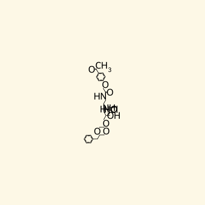 CC(=O)c1ccc(OCC(=O)NCCNCC(O)COC2COC(Cc3ccccc3)CO2)cc1.Cl.O